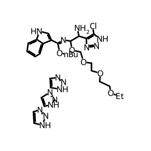 CCCCOC(=NC(OCOCCOCCOCC)C(N)c1nn[nH]c1Cl)c1c[nH]c2ccccc12.c1c[nH]nn1.c1c[nH]nn1.c1c[nH]nn1